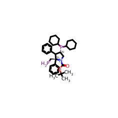 CC(C)(C)OC(=O)N1C[C@@H](P(C2CCCCC2)C2CCCCC2)C(c2ccccc2)[C@@]1(CP)c1ccccc1